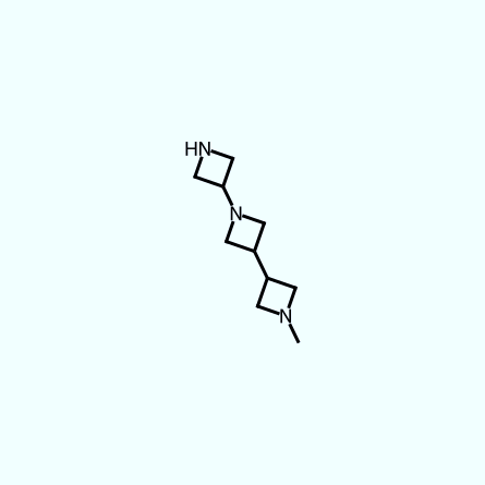 CN1CC(C2CN(C3CNC3)C2)C1